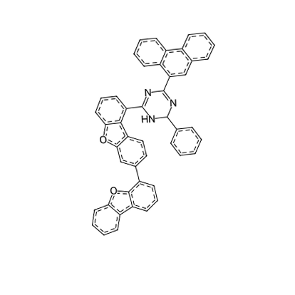 c1ccc(C2N=C(c3cc4ccccc4c4ccccc34)N=C(c3cccc4oc5cc(-c6cccc7c6oc6ccccc67)ccc5c34)N2)cc1